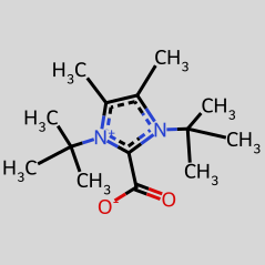 Cc1c(C)[n+](C(C)(C)C)c(C(=O)[O-])n1C(C)(C)C